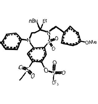 CCCCC1(CC)CN(c2ccccc2)c2cc(S(C)(=O)=O)c(OS(=O)(=O)C(F)(F)F)cc2S(=O)(=O)N1Cc1ccc(OC)cc1